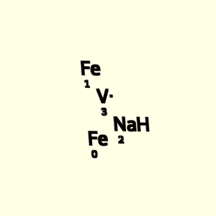 [Fe].[Fe].[NaH].[V]